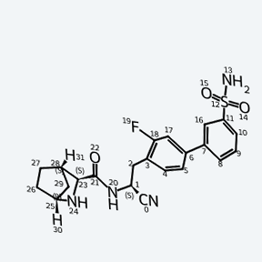 N#C[C@H](Cc1ccc(-c2cccc(S(N)(=O)=O)c2)cc1F)NC(=O)[C@H]1N[C@@H]2CC[C@H]1C2